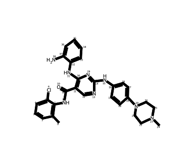 Cc1cccc(Cl)c1NC(=O)c1cnc(Nc2ccc(N3CCN(C)CC3)cc2)nc1Nc1ccccc1N